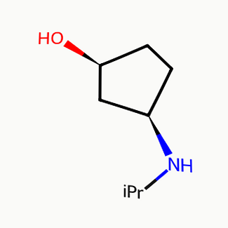 CC(C)N[C@@H]1CC[C@H](O)C1